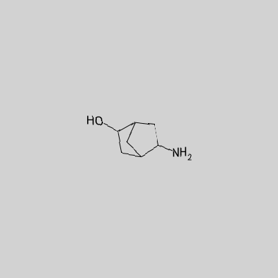 NC1CC2CC1CC2O